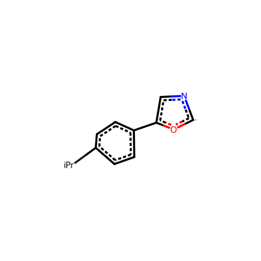 CC(C)c1ccc(-c2cn[c]o2)cc1